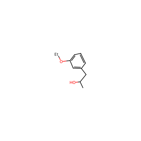 CCOc1cccc(CC(C)O)c1